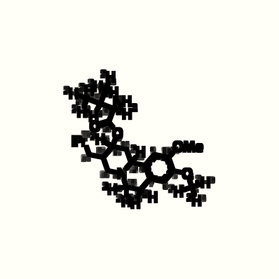 [2H]C([2H])([2H])Oc1cc2c(cc1OC)C1([2H])CC([2H])(OC(=O)[C@@]([2H])(N)C([2H])(C([2H])([2H])[2H])C([2H])([2H])[2H])C(CC(C)C)CN1C([2H])([2H])C2([2H])[2H]